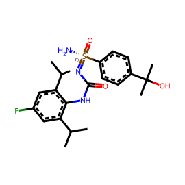 CC(C)c1cc(F)cc(C(C)C)c1NC(=O)N=[S@@](N)(=O)c1ccc(C(C)(C)O)cc1